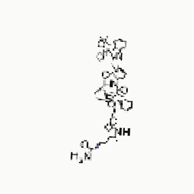 CC(CC/C=C/C(N)=O)NC(=O)OCCO[Si](c1ccccc1)(c1ccccc1)C(C)(C)C(=O)Nc1cccn(Cc2nc3ccccc3n2C(=O)OC(C)(C)C)c1=O